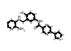 Nc1ncccc1NCc1cc(NC(=O)c2cnc(-c3ccsc3)cn2)ccc1F